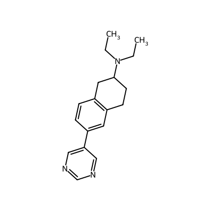 CCN(CC)C1CCc2cc(-c3cncnc3)ccc2C1